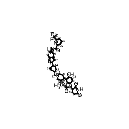 Cc1ccc2c(c1C1CCN(C[C@H]3CC[C@H](n4cc5cc(NC(=O)c6cccc(C(F)(F)F)n6)ncc5n4)CC3)CC1(F)F)n(C)c(=O)n2C1CCC(=O)NC1=O